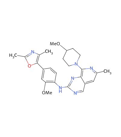 COc1cc(-c2oc(C)nc2C)ccc1Nc1ncc2cc(C)nc(N3CCC(OC)CC3)c2n1